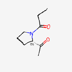 CCC(=O)N1CCC[C@H]1C(C)=O